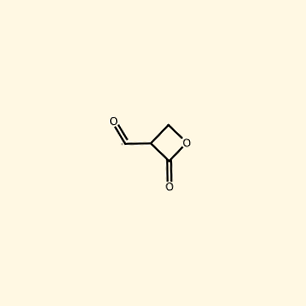 O=[C]C1COC1=O